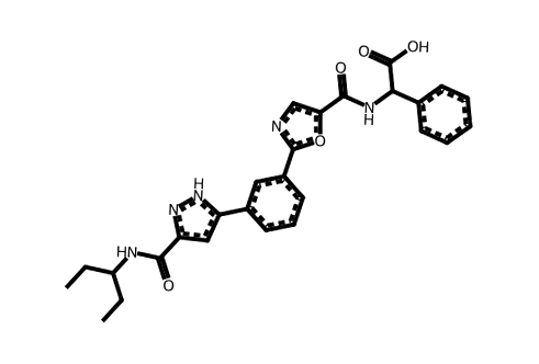 CCC(CC)NC(=O)c1cc(-c2cccc(-c3ncc(C(=O)NC(C(=O)O)c4ccccc4)o3)c2)[nH]n1